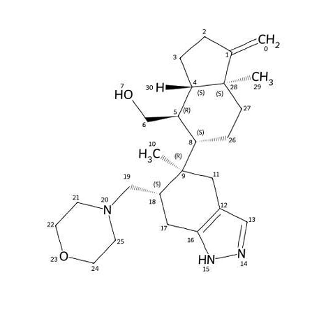 C=C1CC[C@H]2[C@H](CO)[C@@H]([C@@]3(C)Cc4cn[nH]c4C[C@@H]3CN3CCOCC3)CC[C@]12C